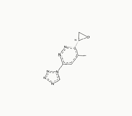 Cc1cc(-n2cnnn2)nnc1[C@@H]1CO1